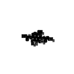 COC(=O)COC(=O)C1=C(C)NC(C)=C(C(=O)OCC(=O)O)C1C(=O)OC